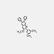 COc1cc2cc(-n3cccc3)c(-n3cccc3)cc2nc1-c1cc(C)cc(C)c1